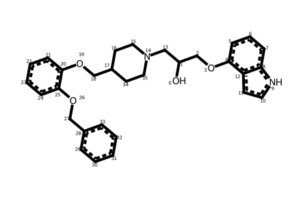 OC(COc1cccc2[nH]ccc12)CN1CCC(COc2ccccc2OCc2ccccc2)CC1